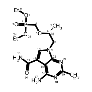 CCOP(=O)(CO[C@H](C)Cn1cc(C(N)=O)c2c(N)nc(C)nc21)OCC